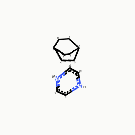 C1CC2CCC1CC2.c1cnccn1